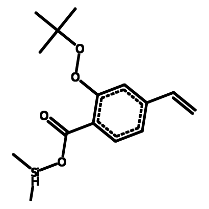 C=Cc1ccc(C(=O)O[SiH](C)C)c(OOC(C)(C)C)c1